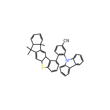 CC1(C)C2=CC3Sc4cccc(-c5ccc(C#N)cc5-n5c6ccccc6c6ccccc65)c4C3C=C2C2(C)C=CC=CC12